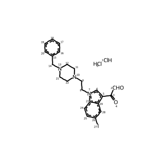 Cl.Cl.O=CC(=O)c1cn(CCN2CCN(Cc3ccccc3)CC2)c2ccc(I)cc12